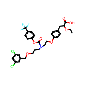 CCOC(Cc1ccc(OCCN(CCCOCc2cc(Cl)cc(Cl)c2)C(=O)Oc2ccc(C(F)(F)F)cc2)cc1)C(=O)O